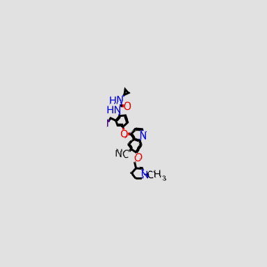 CN1CCCC(COc2cc3nccc(Oc4ccc(NC(=O)NC5CC5)c(CI)c4)c3cc2C#N)C1